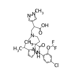 CC(C)c1ccnn1C1(C(=O)Nc2ccc(Cl)cc2OC(F)F)CCN(CC(C(=O)O)c2cnn(C)c2)CC1